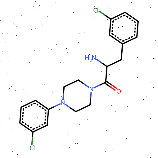 NC(Cc1cccc(Cl)c1)C(=O)N1CCN(c2cccc(Cl)c2)CC1